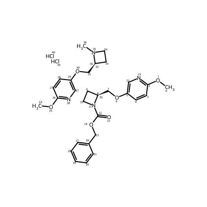 COc1ccc(OC[C@@H]2CCN2C(=O)OCc2ccccc2)cn1.COc1ccc(OC[C@@H]2CCN2C)cn1.Cl.Cl